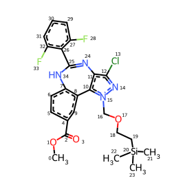 COC(=O)c1ccc2c(c1)-c1c(c(Cl)nn1COCC[Si](C)(C)C)N=C(c1c(F)cccc1F)N2